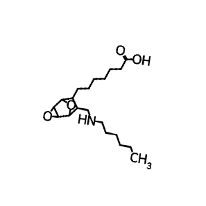 CCCCCCNCC1C(CCCCCCC(=O)O)C2OC1C1OC21